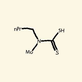 CCCC[N]([Mo])C(=S)S